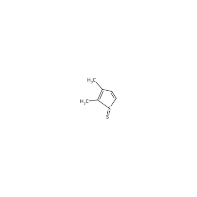 CC1=C(C)S(=S)C=C1